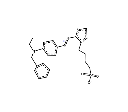 CCN(Cc1ccccc1)c1ccc(/N=N/c2scc[n+]2CCCCS(=O)(=O)[O-])cc1